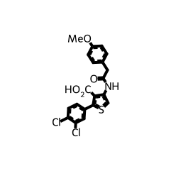 COc1ccc(CC(=O)Nc2csc(-c3ccc(Cl)c(Cl)c3)c2C(=O)O)cc1